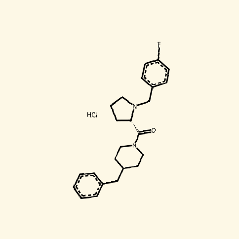 Cl.O=C([C@@H]1CCCN1Cc1ccc(F)cc1)N1CCC(Cc2ccccc2)CC1